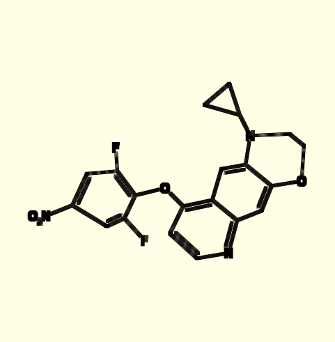 O=[N+]([O-])c1cc(F)c(Oc2ccnc3cc4c(cc23)N(C2CC2)CCO4)c(F)c1